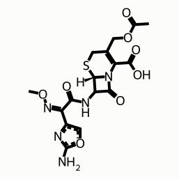 CO/N=C(\C(=O)NC1C(=O)N2C(C(=O)O)=C(COC(C)=O)CS[C@@H]12)c1coc(N)n1